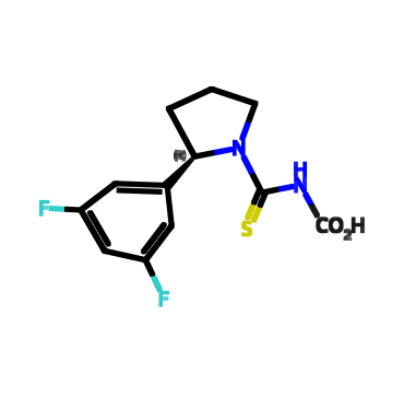 O=C(O)NC(=S)N1CCC[C@@H]1c1cc(F)cc(F)c1